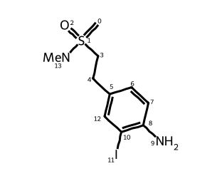 C=S(=O)(CCc1ccc(N)c(I)c1)NC